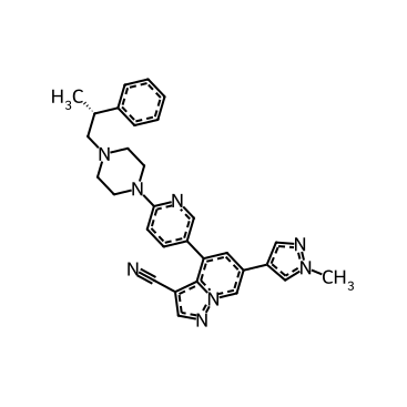 C[C@@H](CN1CCN(c2ccc(-c3cc(-c4cnn(C)c4)cn4ncc(C#N)c34)cn2)CC1)c1ccccc1